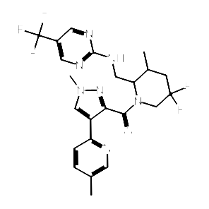 Cc1ccc(-c2cn(C)nc2C(=O)N2CC(F)(F)CC(C)C2CNc2ncc(C(F)(F)F)cn2)nc1